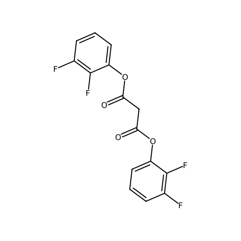 O=C(CC(=O)Oc1cccc(F)c1F)Oc1cccc(F)c1F